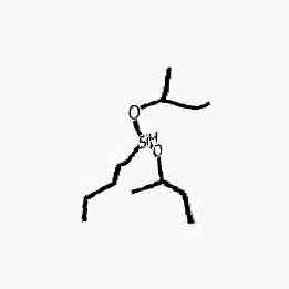 CCCC[SiH](OC(C)CC)OC(C)CC